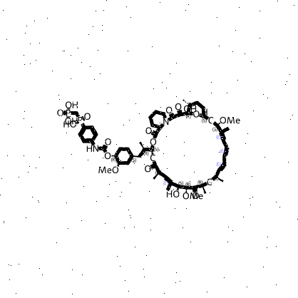 CO[C@H]1C[C@@H]2CC[C@@H](C)[C@@](O)(O2)C(=O)C(=O)N2CCCCC2C(=O)O[C@H]([C@H](C)C[C@@H]2CC[C@@H](OC(=O)Nc3ccc(P(=O)(O)CP(=O)(O)O)cc3)[C@H](OC)C2)CC(=O)[C@H](C)/C=C(\C)[C@H](O)[C@@H](OC)C(=O)[C@H](C)C[C@H](C)/C=C/C=C/C=C/1C